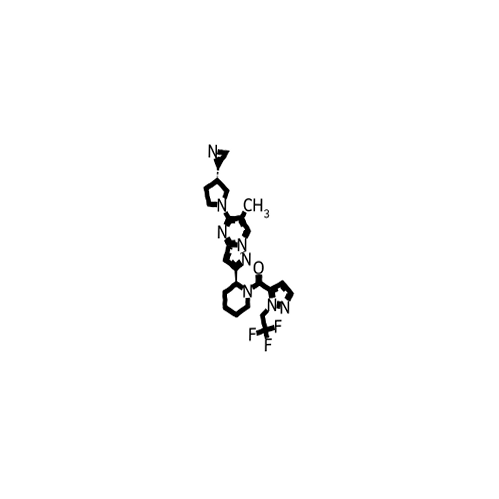 Cc1cn2nc([C@@H]3CCCCN3C(=O)c3ccnn3CC(F)(F)F)cc2nc1N1CC[C@H](C2=NC2)C1